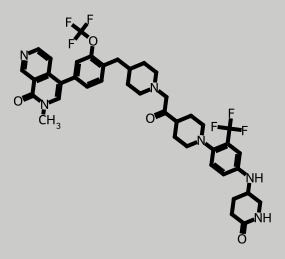 Cn1cc(-c2ccc(CC3CCN(CC(=O)C4CCN(c5ccc(NC6CCC(=O)NC6)cc5C(F)(F)F)CC4)CC3)c(OC(F)(F)F)c2)c2ccncc2c1=O